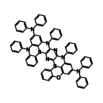 c1ccc(N(c2ccccc2)c2cc3c4c(c2)N(c2ccccc2)c2nc5c(nc2B4c2ccccc2O3)B2c3ccccc3N(c3ccccc3)c3cc(N(c4ccccc4)c4ccccc4)cc(c32)N5c2ccccc2)cc1